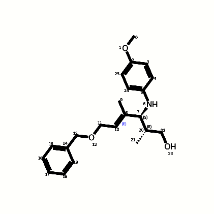 COc1ccc(N[C@H](/C(C)=C/COCc2ccccc2)[C@@H](C)CO)cc1